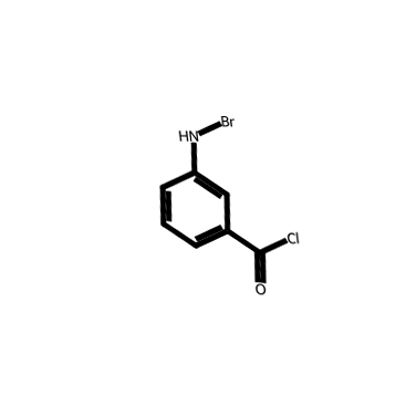 O=C(Cl)c1cccc(NBr)c1